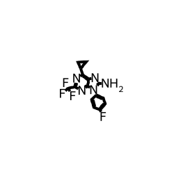 Nc1nc2c(C3CC3)nc(C(F)(F)F)nc2n1-c1ccc(F)cc1